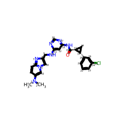 CN(C)c1ccc2nc(CNc3cc(NC(=O)[C@H]4C[C@@H]4c4cccc(Cl)c4)ncn3)cn2c1